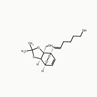 CC1(C)O[C@@H]2[C@@H]3C=C[C@@](N=CCCCCO)(OO3)[C@]2(CO)O1